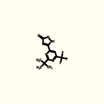 CC(C)(C)c1nc(-c2nc(=O)o[nH]2)cc(C(F)(F)F)n1